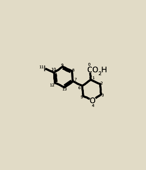 O=C(O)C1CCOCC1c1ccc(I)cc1